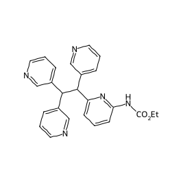 CCOC(=O)Nc1cccc(C(c2cccnc2)C(c2cccnc2)c2cccnc2)n1